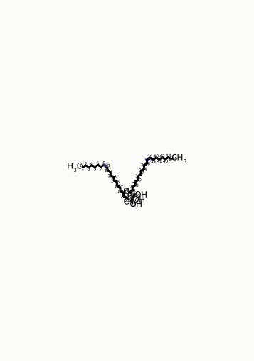 CCCCCCCC/C=C\CCCCCCCCCCCC(=O)P(C(=O)CCCCCCCCCCC/C=C\CCCCCCCC)C(O)(CO)CO